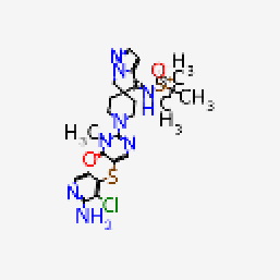 Cn1c(N2CCC3(CC2)Cn2nccc2[C@H]3N[S@+]([O-])C(C)(C)C)ncc(Sc2ccnc(N)c2Cl)c1=O